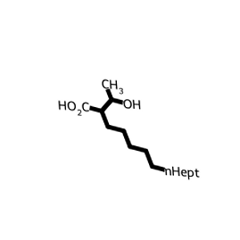 CCCCCCCCCCCC[C](C(=O)O)C(C)O